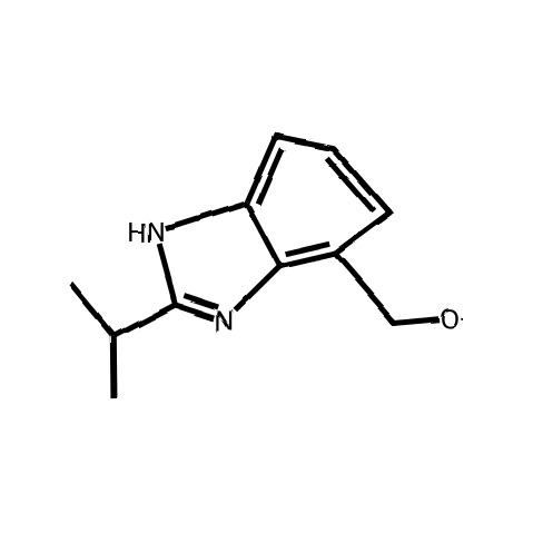 CC(C)c1nc2c(C[O])cccc2[nH]1